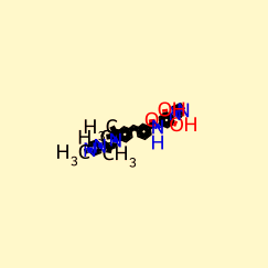 Cc1c(C)n(CC(C)CN2CCN(C)CC2)c2ccc(Cc3cccc(C(=O)Nc4cc(O)c(-n5ccnc5)c(O)c4)c3)cc12